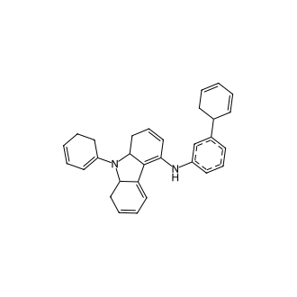 C1=CCCC(N2C3CC=CC=C3C3=C(Nc4cccc(C5C=CC=CC5)c4)C=CCC32)=C1